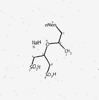 CCCCCCCCCCC(C)OC(CS(=O)(=O)O)CS(=O)(=O)O.[NaH]